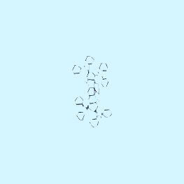 c1ccc(N(c2ccccc2)c2cc3c4c(c2)N(c2ccccc2)c2ccccc2B4c2cc4c(nc2S3)B2c3ccccc3N(c3ccccc3)c3cc(N(c5ccccc5)c5ccccc5)cc(c32)S4)cc1